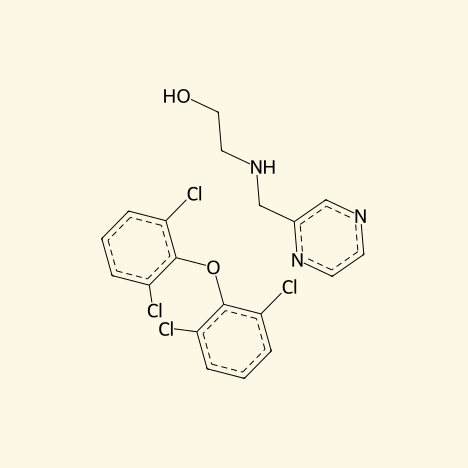 Clc1cccc(Cl)c1Oc1c(Cl)cccc1Cl.OCCNCc1cnccn1